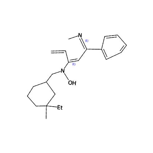 C=C/C(=C\C(=N/C)c1ccccc1)N(O)CC1CCCC(C)(CC)C1